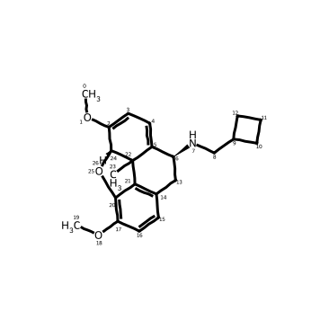 COC1=CC=C2[C@@H](NCC3CCC3)Cc3ccc(OC)c4c3C2(C)[C@@H]1O4